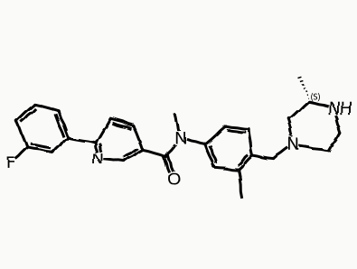 Cc1cc(N(C)C(=O)c2ccc(-c3cccc(F)c3)nc2)ccc1CN1CCN[C@@H](C)C1